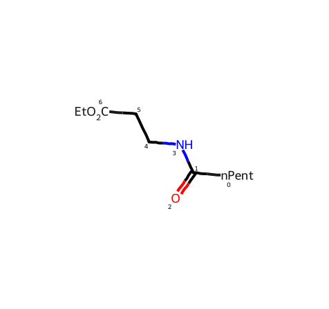 CCCCCC(=O)NCCC(=O)OCC